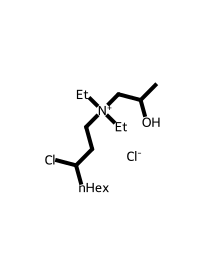 CCCCCCC(Cl)CC[N+](CC)(CC)CC(C)O.[Cl-]